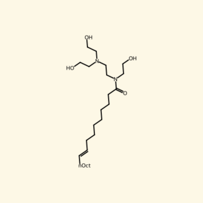 CCCCCCCCC=CCCCCCCCC(=O)N(CCO)CCN(CCO)CCO